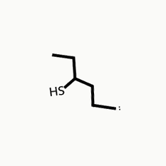 [CH]CCC(S)CC